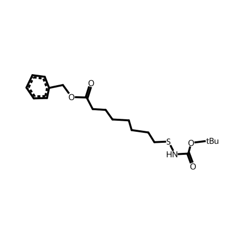 CC(C)(C)OC(=O)NSCCCCCCCC(=O)OCc1ccccc1